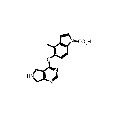 Cc1c(Oc2ncnc3c2CNC3)ccc2c1ccn2C(=O)O